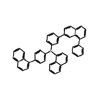 c1ccc(-c2cccc3ccc(-c4cccc(N(c5ccc(-c6cccc7ccccc67)cc5)c5cccc6ccccc56)c4)cc23)cc1